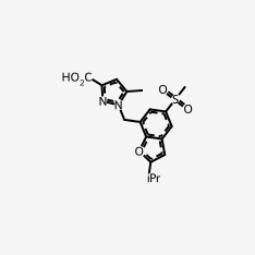 Cc1cc(C(=O)O)nn1Cc1cc(S(C)(=O)=O)cc2cc(C(C)C)oc12